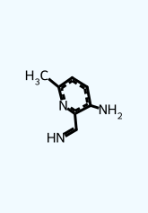 Cc1ccc(N)c(C=N)n1